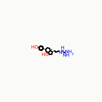 C[C@]12CC[C@H](c3ccc(O)cc3)C[C@@]1(O)CC[C@@H]2/C=C/C=N/NC(=N)N